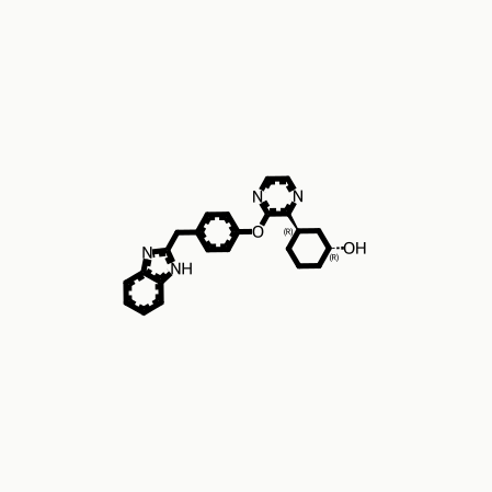 O[C@@H]1CCC[C@@H](c2nccnc2Oc2ccc(Cc3nc4ccccc4[nH]3)cc2)C1